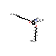 CCCCCCCCC=CCCCCCCCCOc1cc(CN(C)CC(=O)O)cc(OCCCCCCCCC=CCCCCCCCC)c1